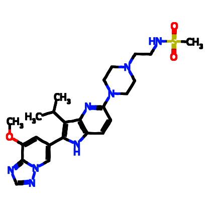 COc1cc(-c2[nH]c3ccc(N4CCN(CCNS(C)(=O)=O)CC4)nc3c2C(C)C)cn2ncnc12